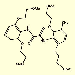 COCCOC1=C(NC(=O)C(=O)NC2=C(OCCOC)C=CC(C)C2OCCOC)C(OCCOC)CC=C1